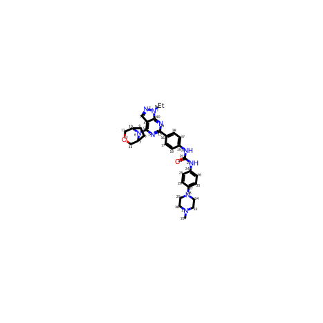 CCn1ncc2c(N3C4CCC3COC4)nc(-c3ccc(NC(=O)Nc4ccc(N5CCN(C)CC5)cc4)cc3)nc21